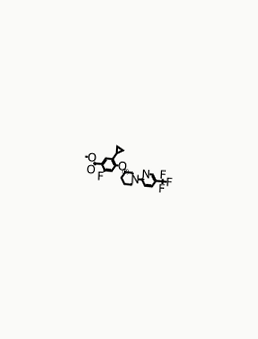 COC(=O)c1cc(C2CC2)c(O[C@@H]2CCCN(c3ccc(C(F)(F)F)cn3)C2)cc1F